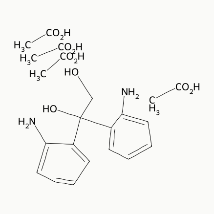 CC(=O)O.CC(=O)O.CC(=O)O.CC(=O)O.Nc1ccccc1C(O)(CO)c1ccccc1N